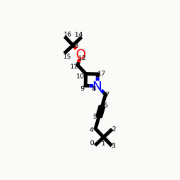 CC(C)(C)CC#CCN1CC(COC(C)(C)C)C1